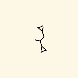 OC(CC1CO1)C1CO1